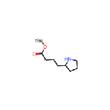 CC(C)(C)OC(=O)[CH]CCC1CCCN1